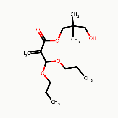 C=C(C(=O)OCC(C)(C)CO)C(OCCC)OCCC